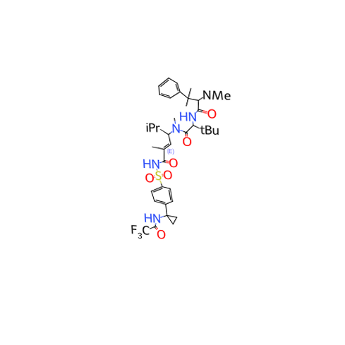 CNC(C(=O)NC(C(=O)N(C)C(/C=C(\C)C(=O)NS(=O)(=O)c1ccc(C2(NC(=O)C(F)(F)F)CC2)cc1)C(C)C)C(C)(C)C)C(C)(C)c1ccccc1